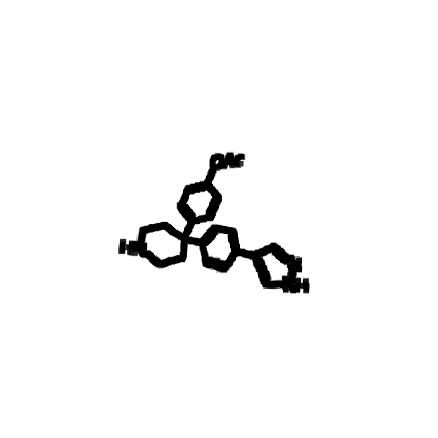 CC(=O)Oc1ccc(C2(c3ccc(-c4cn[nH]c4)cc3)CCNCC2)cc1